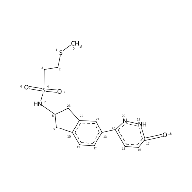 CSCCS(=O)(=O)NC1Cc2ccc(-c3ccc(=O)[nH]n3)cc2C1